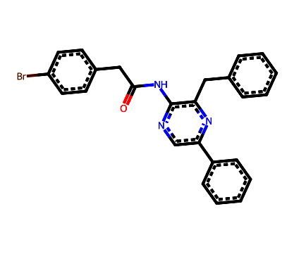 O=C(Cc1ccc(Br)cc1)Nc1ncc(-c2ccccc2)nc1Cc1ccccc1